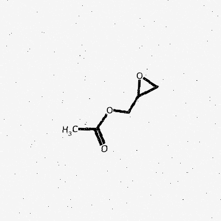 CC(=O)OCC1CO1